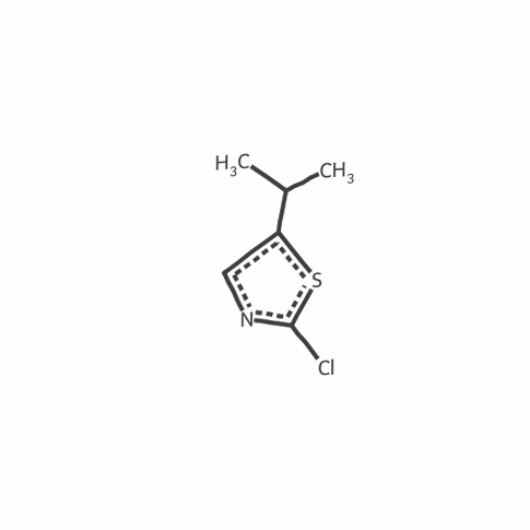 CC(C)c1cnc(Cl)s1